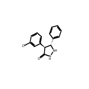 O=C1NN[C@@H](c2ccccc2)[C@@H]1c1cccc(Cl)c1